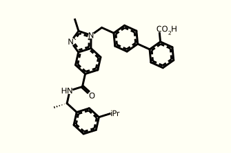 Cc1nc2cc(C(=O)N[C@@H](C)c3cccc(C(C)C)c3)ccc2n1Cc1ccc(-c2ccccc2C(=O)O)cc1